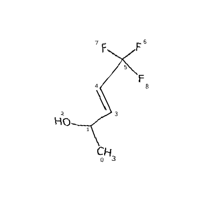 CC(O)C=CC(F)(F)F